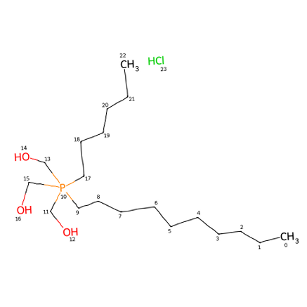 CCCCCCCCCCP(CO)(CO)(CO)CCCCCC.Cl